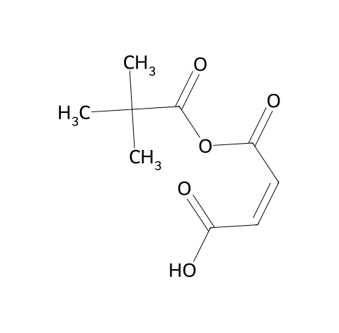 CC(C)(C)C(=O)OC(=O)/C=C\C(=O)O